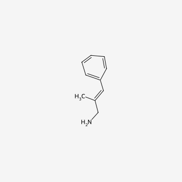 C/C(=C\c1ccccc1)CN